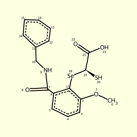 COc1cccc(C(=O)NCc2ccccc2)c1[Se][C@H](S)C(=O)O